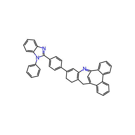 C1=C(c2ccc(-c3nc4ccccc4n3-c3ccccc3)cc2)CCC2=C1N=C1C=C(C2)c2ccccc2-c2ccccc21